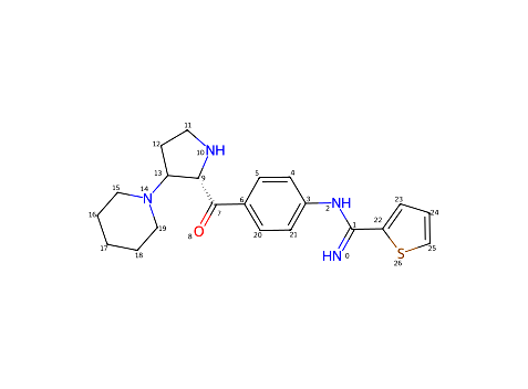 N=C(Nc1ccc(C(=O)[C@H]2NCCC2N2CCCCC2)cc1)c1cccs1